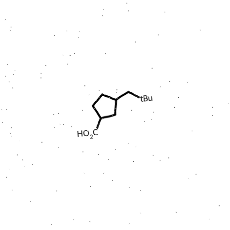 CC(C)(C)CC1CCC(C(=O)O)C1